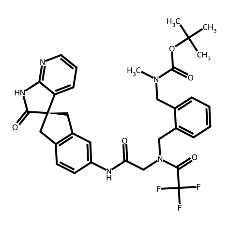 CN(Cc1ccccc1CN(CC(=O)Nc1ccc2c(c1)C[C@@]1(C2)C(=O)Nc2ncccc21)C(=O)C(F)(F)F)C(=O)OC(C)(C)C